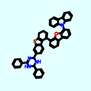 C1=C(c2cccc3c2oc2c(-n4c5ccccc5c5ccccc54)cccc23)c2c(sc3cc(C4N=C(c5ccccc5)NC(c5ccccc5)N4)ccc23)CC1